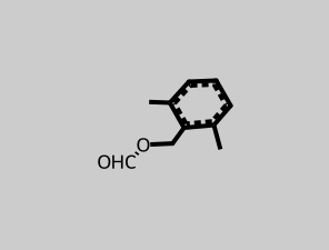 Cc1cccc(C)c1COC=O